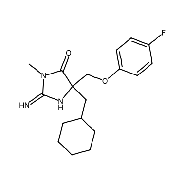 CN1C(=N)NC(COc2ccc(F)cc2)(CC2CCCCC2)C1=O